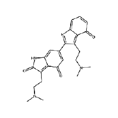 CN(C)CCC1=C2C(=O)C=CC=C2N=C1C1=CC(=O)C2=C(CCN(C)C)C(=O)NC2=C1